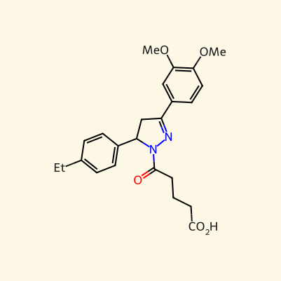 CCc1ccc(C2CC(c3ccc(OC)c(OC)c3)=NN2C(=O)CCCC(=O)O)cc1